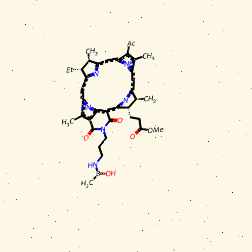 CC[C@H]1c2cc3[nH]c4c(c5nc(cc6[nH]c(cc(n2)[C@@H]1C)c(C(C)=O)c6C)[C@@H](C)[C@@H]5CCC(=O)OC)C(=O)N(CCCNB(C)O)C(=O)c4c3C